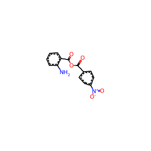 Nc1ccccc1C(=O)OC(=O)c1ccc([N+](=O)[O-])cc1